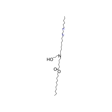 CCCCC/C=C/C/C=C/CCCCCCCCN(CCCO)CCCCCC(=O)OCCCCCCCCCCC